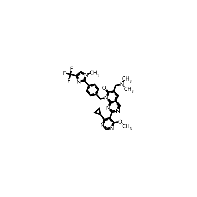 COc1ncnc(C2CC2)c1-c1ncc2cc(CN(C)C)c(=O)n(Cc3ccc(-c4nc(C(F)(F)F)cn4C)cc3)c2n1